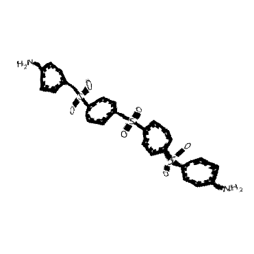 Nc1ccc(S(=O)(=O)c2ccc(S(=O)(=O)c3ccc(S(=O)(=O)c4ccc(N)cc4)cc3)cc2)cc1